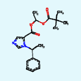 CC(OC(=O)c1cncn1C(C)c1ccccc1)OC(=O)C(C)(C)C